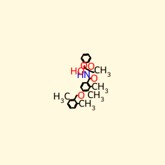 CCC(NC(=O)c1ccc(OCc2c(C)cccc2C)c(C)c1C)(Oc1ccccc1)C(=O)O